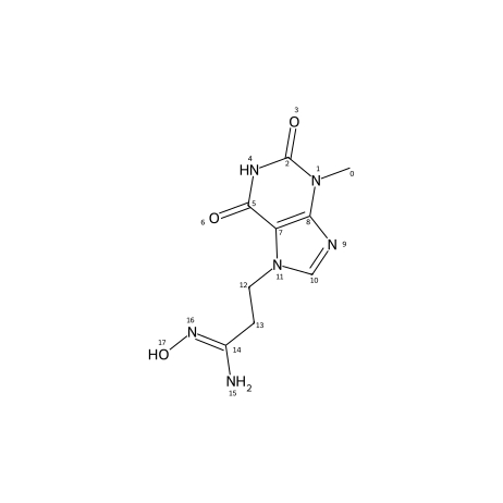 Cn1c(=O)[nH]c(=O)c2c1ncn2CCC(N)=NO